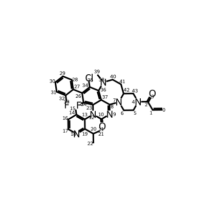 C=CC(=O)N1CCN2c3nc(=O)n(-c4c(C)ccnc4C(C)C)c4c(F)c(-c5ccccc5F)c(Cl)c(c34)N(C)CCC2C1